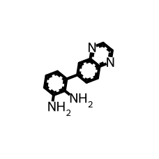 Nc1cccc(-c2ccc3nccnc3c2)c1N